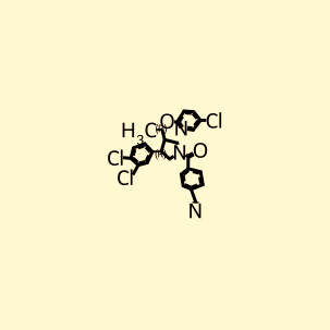 C[C@@H](Oc1ccc(Cl)cn1)C1CN(C(=O)c2ccc(C#N)cc2)C[C@H]1c1ccc(Cl)c(Cl)c1